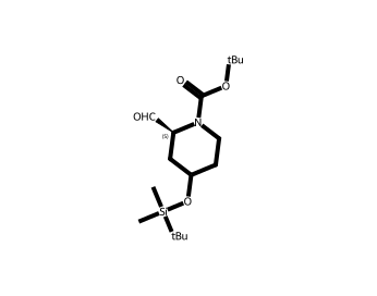 CC(C)(C)OC(=O)N1CCC(O[Si](C)(C)C(C)(C)C)C[C@H]1C=O